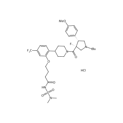 COc1ccc([C@@H]2CN(C(C)(C)C)C[C@@]2(F)C(=O)N2CCC(c3ccc(C(F)(F)F)cc3OCCCC(=O)NS(=O)(=O)N(C)C)CC2)cc1.Cl